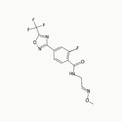 CON=CCNC(=O)c1ccc(-c2noc(C(F)(F)F)n2)cc1F